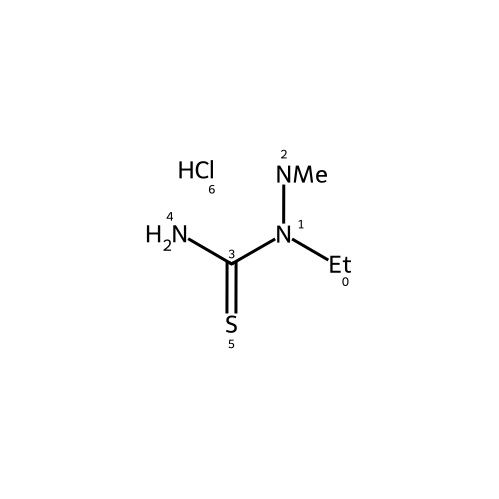 CCN(NC)C(N)=S.Cl